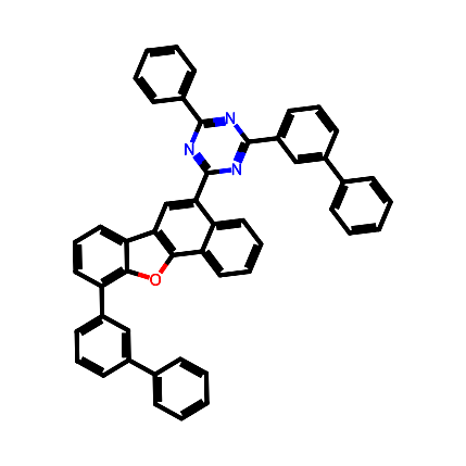 c1ccc(-c2cccc(-c3nc(-c4ccccc4)nc(-c4cc5c6cccc(-c7cccc(-c8ccccc8)c7)c6oc5c5ccccc45)n3)c2)cc1